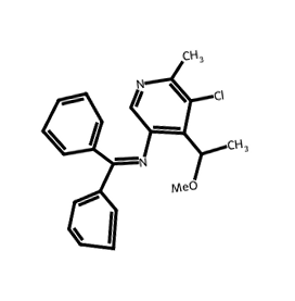 COC(C)c1c(N=C(c2ccccc2)c2ccccc2)cnc(C)c1Cl